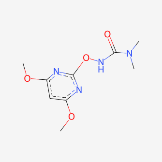 COc1cc(OC)nc(ONC(=O)N(C)C)n1